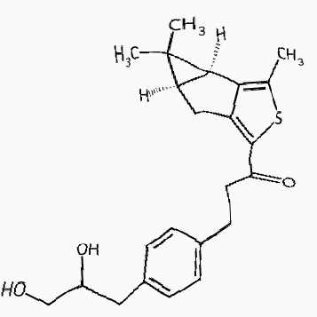 Cc1sc(C(=O)CCc2ccc(CC(O)CO)cc2)c2c1[C@H]1[C@@H](C2)C1(C)C